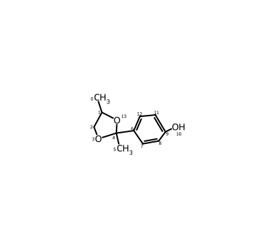 CC1COC(C)(c2ccc(O)cc2)O1